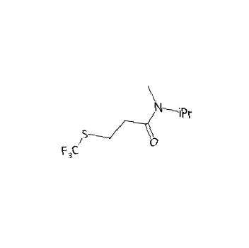 CC(C)N(C)C(=O)CCSC(F)(F)F